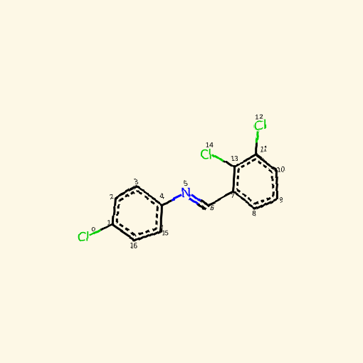 Clc1ccc(/N=C/c2cccc(Cl)c2Cl)cc1